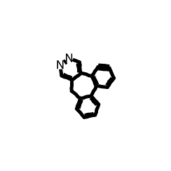 c1ccc2c(c#1)-c1cnncc1Cc1ccccc1-2